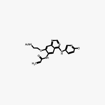 C=CC(=O)Nc1cc2c(Nc3ccc(Cl)nc3)ncnc2cc1OCCNC(C)=O